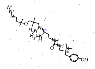 CN(C)[C@H](CNC(=O)NCC/C(=C/N(N)CC(C)(C)COC(C)(C)CCN=[N+]=[N-])NP)Cc1ccc(O)cc1